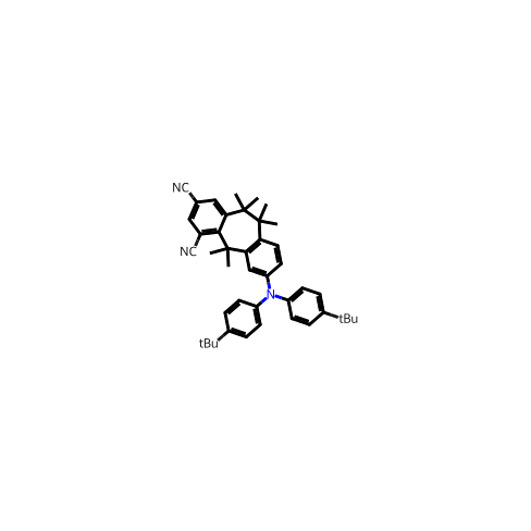 CC(C)(C)c1ccc(N(c2ccc(C(C)(C)C)cc2)c2ccc3c(c2)C(C)(C)c2c(C#N)cc(C#N)cc2C(C)(C)C3(C)C)cc1